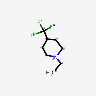 CCN1CCC(C(F)(F)F)CC1